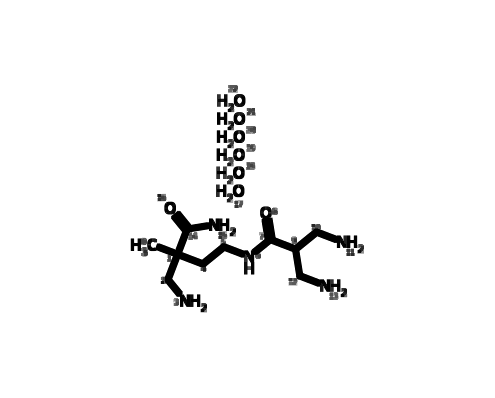 CC(CN)(CCNC(=O)C(CN)CN)C(N)=O.O.O.O.O.O.O